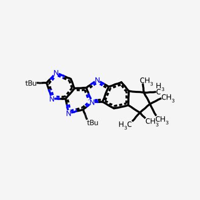 CC(C)(C)c1ncc2c(n1)nc(C(C)(C)C)n1c3cc4c(cc3nc21)C(C)(C)C(C)(C)C4(C)C